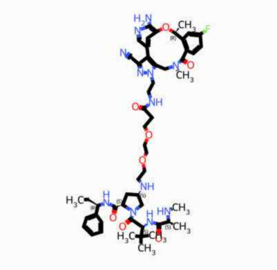 CC[C@@H](NC(=O)[C@@H]1C[C@H](NCCOCCOCCC(=O)NCCn2nc(C#N)c3c2CN(C)C(=O)c2ccc(F)cc2[C@@H](C)Oc2cc-3cnc2N)CN1C(=O)[C@@H](NC(=O)[C@H](C)NC)C(C)(C)C)c1ccccc1